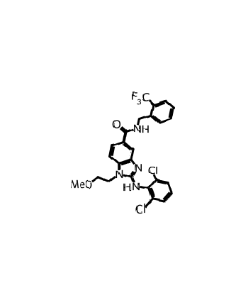 COCCn1c(Nc2c(Cl)cccc2Cl)nc2cc(C(=O)NCc3ccccc3C(F)(F)F)ccc21